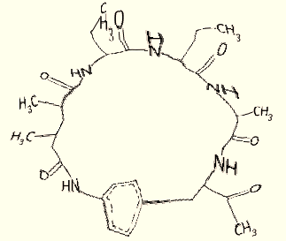 CCC1NC(=O)C(CC)NC(=O)C(C)C(C)C(=O)Nc2ccc(cc2)CC(C(C)=O)NC(=O)C(C)NC1=O